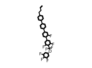 C=CCCc1ccc(-c2ccc(-c3ccc(-c4cc(F)c(C(F)(F)Oc5cc(F)c(F)c(F)c5)c(F)c4)c(F)c3)cc2)cc1